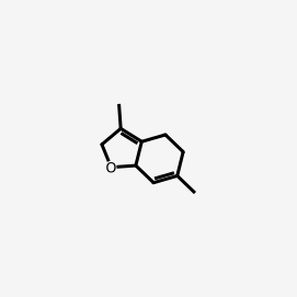 CC1=CC2OCC(C)=C2CC1